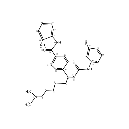 CN(C)CCCCCC(NC(=O)Nc1cccc(F)c1)c1ccc(C(=O)Nc2ccccc2N)nc1